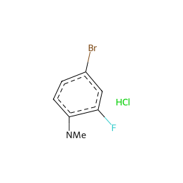 CNc1ccc(Br)cc1F.Cl